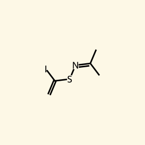 C=C(I)SN=C(C)C